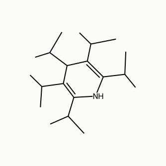 CC(C)C1=C(C(C)C)C(C(C)C)C(C(C)C)=C(C(C)C)N1